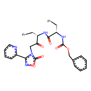 CC(C)C[C@H](NC(=O)[C@H](CC(C)C)NC(=O)OCc1ccccc1)C(=O)Cn1c(-c2ccccn2)noc1=O